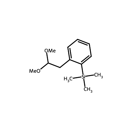 COC(Cc1ccccc1[Si](C)(C)C)OC